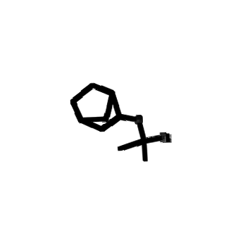 CCC(C)(C)OC1CC2CCC1C2